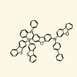 c1ccc(-c2ccc(N(c3ccc4c(c3)oc3ccccc34)c3ccc4c(c3)oc3cc5c(cc34)N(c3ccccc3)c3ccccc3[Si]5(c3ccc4c(c3)sc3ccccc34)c3ccc4c(c3)sc3ccccc34)cc2)cc1